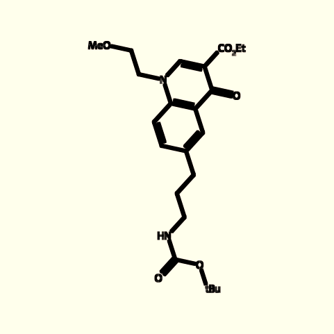 CCOC(=O)c1cn(CCOC)c2ccc(CCCNC(=O)OC(C)(C)C)cc2c1=O